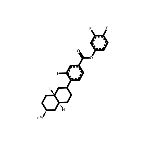 CCC[C@H]1CC[C@@H]2CC(c3ccc(C(=O)Oc4ccc(F)c(F)c4)cc3F)CC[C@H]2C1